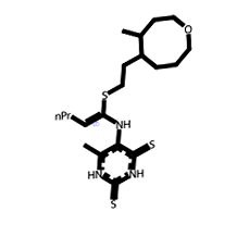 CCC/C=C(/Nc1c(C)[nH]c(=S)[nH]c1=S)SCCC1CCCOCCC1C